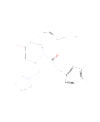 O=C(Cc1ccc(Cl)c(Cl)c1)N1CCC(O)CC1CN1CCCC1.O=C(O)C=CC(=O)O